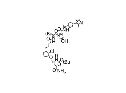 Cc1ncsc1-c1ccc([C@H](C)NC(=O)[C@@H]2C[C@@H](O)CN2C(=O)[C@@H](NC(=O)CCCCc2cccc(OC[C@@H](CCC(N)=O)NC(=O)OC(C)(C)C)c2Cl)C(C)(C)C)cc1